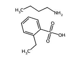 CCCCN.CCc1ccccc1S(=O)(=O)O